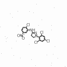 O=[N+]([O-])c1ccc(Cl)c(NC2=NN(c3c(Cl)cc(Cl)cc3Cl)CC2)c1